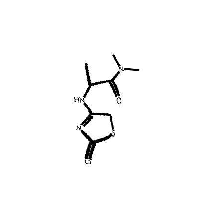 CC(NC1=NC(=O)SC1)C(=O)N(C)C